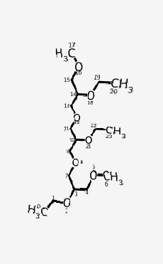 CCOC(COC)COCC(COCC(COC)OCC)OCC